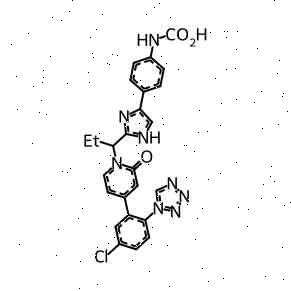 CCC(c1nc(-c2ccc(NC(=O)O)cc2)c[nH]1)n1ccc(-c2cc(Cl)ccc2-n2cnnn2)cc1=O